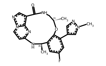 C[C@H]1CNC(=O)c2cnn3ccc(nc23)N[C@H](C)c2cc(F)cc(-c3cnn(C)c3)c2O1